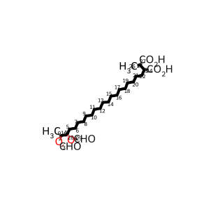 CC(OC=O)C(CCCCCCCCCCCCCCCCCCC(C(=O)O)C(C)C(=O)O)OC=O